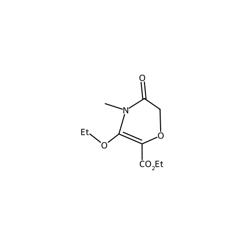 CCOC(=O)C1=C(OCC)N(C)C(=O)CO1